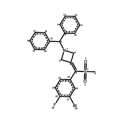 CS(=O)(=O)C(=C1CN(C(c2ccccc2)c2ccccc2)C1)c1ccc(F)c(Br)c1